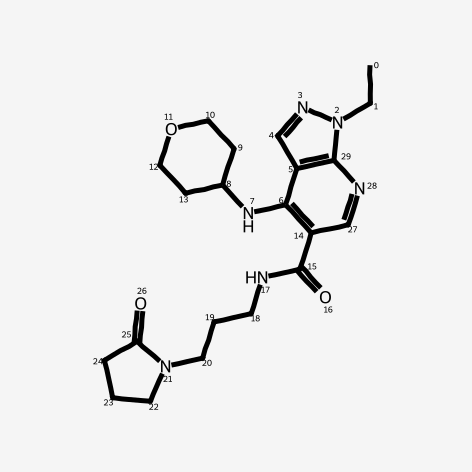 CCn1ncc2c(NC3CCOCC3)c(C(=O)NCCCN3CCCC3=O)cnc21